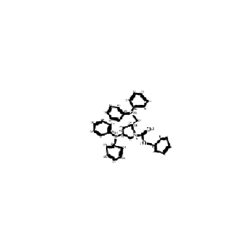 O=C(Oc1ccccc1)N1C[C@@H](P(c2ccccc2)c2ccccc2)C[C@H]1CP(c1ccccc1)c1ccccc1